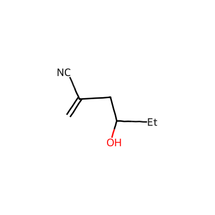 C=C(C#N)CC(O)CC